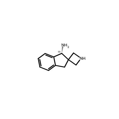 N[C@H]1c2ccccc2CC12CNC2